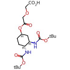 CC(C)(C)OC(=O)N[C@@H]1CC[C@@H](OC(=O)COCC(=O)O)C[C@H]1NC(=O)OC(C)(C)C